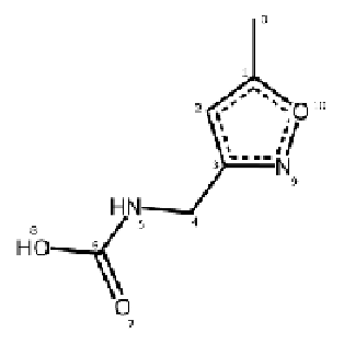 Cc1cc(CNC(=O)O)no1